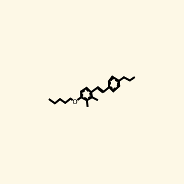 CCCCCOc1ccc(C=Cc2ccc(CCC)cc2)c(C)c1C